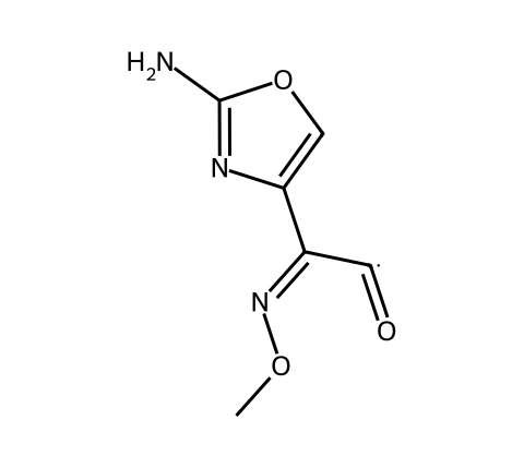 CO/N=C(\[C]=O)c1coc(N)n1